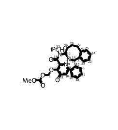 COC(=O)OCOc1c2n(ccc1=O)N1[C@@H](c3ccccc3)c3ccccc3CCC[C@@H]1N(C(C)C)C2=O